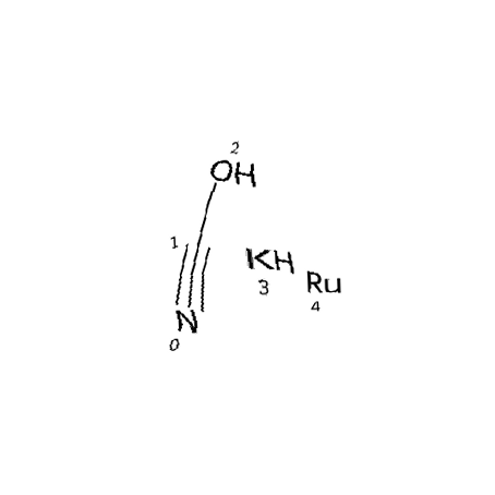 N#CO.[KH].[Ru]